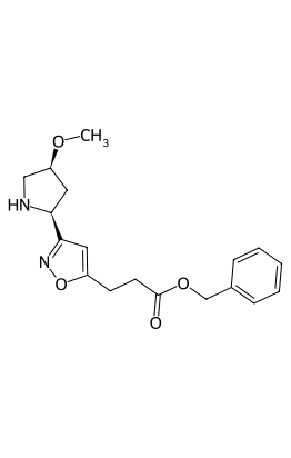 CO[C@@H]1CN[C@H](c2cc(CCC(=O)OCc3ccccc3)on2)C1